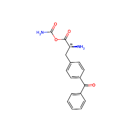 NC(=O)OC(=O)[C@@H](N)Cc1ccc(C(=O)c2ccccc2)cc1